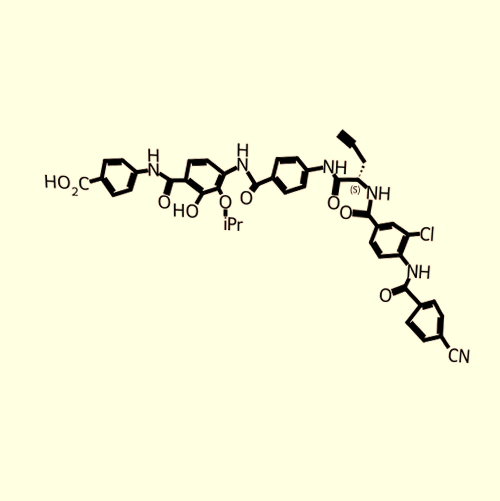 C#CC[C@H](NC(=O)c1ccc(NC(=O)c2ccc(C#N)cc2)c(Cl)c1)C(=O)Nc1ccc(C(=O)Nc2ccc(C(=O)Nc3ccc(C(=O)O)cc3)c(O)c2OC(C)C)cc1